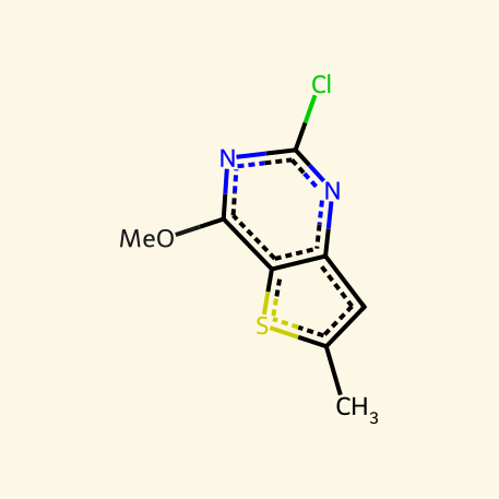 COc1nc(Cl)nc2cc(C)sc12